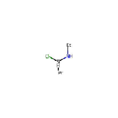 CCN[SiH](Cl)C(C)C